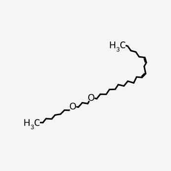 CCCCC/C=C\C/C=C\CCCCCCCCCCOCCCOCCCCCCCC